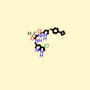 C[C@H](NC(=O)[C@H]1C[C@H](Cc2ccc(C3CCC3)cc2)CN1)C(=O)NCc1cnc2[nH]cc(Cl)c2c1